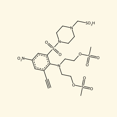 C#Cc1cc([N+](=O)[O-])cc(S(=O)(=O)N2CCN(CS(=O)(=O)O)CC2)c1N(CCOS(C)(=O)=O)CCOS(C)(=O)=O